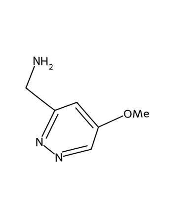 COc1cnnc(CN)c1